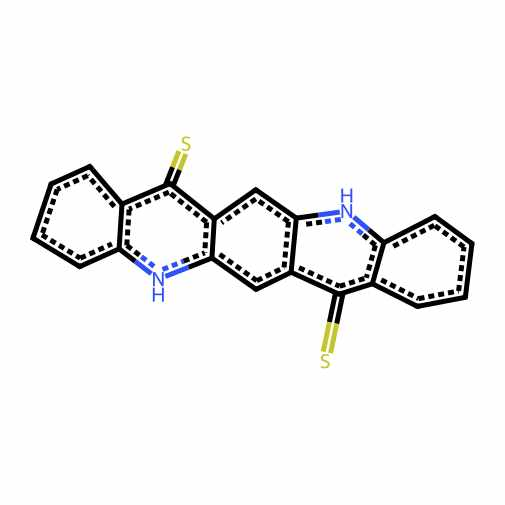 S=c1c2ccccc2[nH]c2cc3c(=S)c4ccccc4[nH]c3cc12